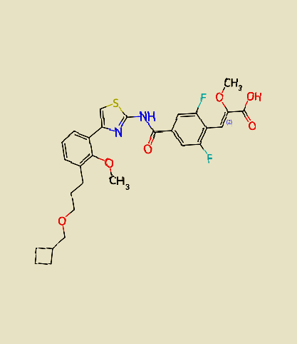 CO/C(=C\c1c(F)cc(C(=O)Nc2nc(-c3cccc(CCCOCC4CCC4)c3OC)cs2)cc1F)C(=O)O